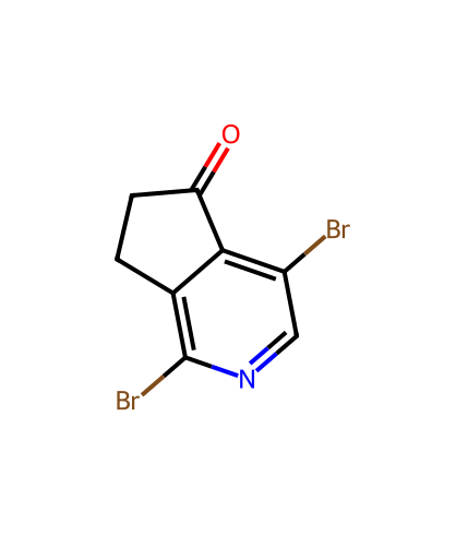 O=C1CCc2c(Br)ncc(Br)c21